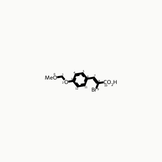 COCOc1ccc(C=C(Br)C(=O)O)cc1